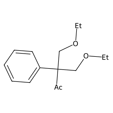 CCOCC(COCC)(C(C)=O)c1ccccc1